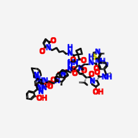 Cc1ncsc1-c1ccc([C@H](C)NC(=O)[C@@H]2C[C@@H](O)CN2C(=O)[C@@H](c2cc(OCCN3CCN(CCOc4cc(N5C6CCC5CN(c5cc(-c7ccccc7O)nnc5NC(=O)OCc5ccc(NC(=O)[C@H](CCCNC(N)=O)NC(=O)C7(C(=O)NCCCCCN8C(=O)C=CC8=O)CCC7)cc5)C6)ccn4)[C@H](C)C3)no2)C(C)C)cc1